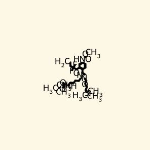 C=CCC(F)(F)C(=O)c1cc(NC(=O)OC)ccc1-c1cn(COCC[Si](C)(C)C)c(CCC=CNC(=O)OC(C)(C)C)n1